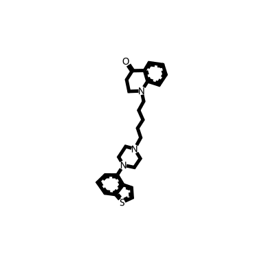 O=C1CCN(CCCCCN2CCN(c3cccc4sccc34)CC2)c2ccccc21